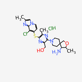 Cc1cn2ccc(Sc3nc(CO)c(N4CCC5(CC4)CO[C@@H](C)[C@H]5N)nc3C)c(Cl)c2n1.Cl